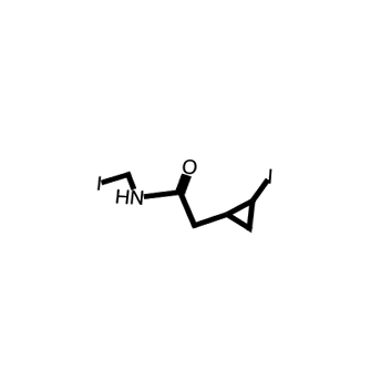 O=C(CC1CC1I)NCI